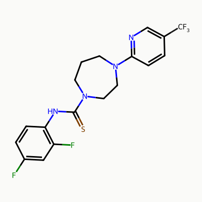 Fc1ccc(NC(=S)N2CCCN(c3ccc(C(F)(F)F)cn3)CC2)c(F)c1